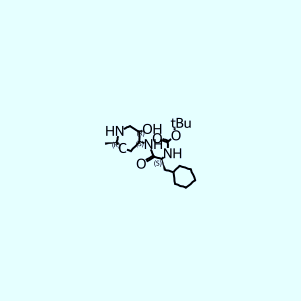 C[C@@H]1CC[C@H](NC(=O)[C@H](CC2CCCCC2)NC(=O)OC(C)(C)C)[C@H](O)CN1